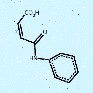 O=C(O)/C=C\C(=O)Nc1ccccc1